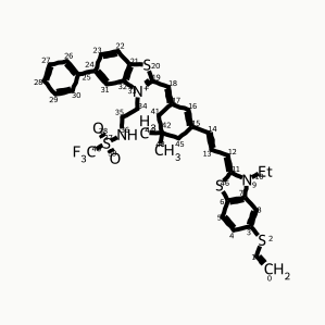 C=CSc1ccc2c(c1)N(CC)/C(=C/C=C/C1=CC(=C/c3sc4ccc(-c5ccccc5)cc4[n+]3CCNS(=O)(=O)C(F)(F)F)/CC(C)(C)C1)S2